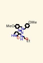 CCOCCNc1nc(N(Cc2ccc(OC)cc2)Cc2ccc(OC)cc2)nc2cc[nH]c(=O)c12